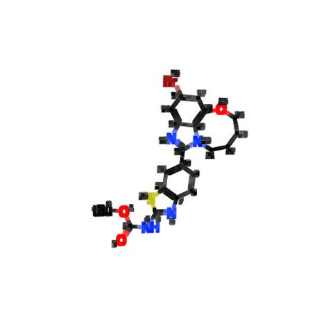 CC(C)(C)OC(=O)Nc1nc2ccc(-c3nc4cc(Br)cc5c4n3CCCCO5)cc2s1